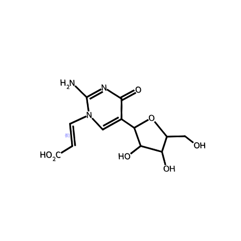 Nc1nc(=O)c(C2OC(CO)C(O)C2O)cn1/C=C/C(=O)O